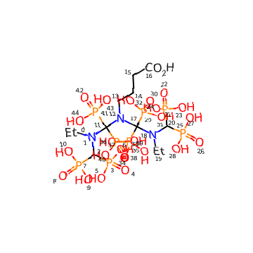 CCN(C(P(=O)(O)O)P(=O)(O)O)C(N(CCCC(=O)O)C(N(CC)C(P(=O)(O)O)P(=O)(O)O)(P(=O)(O)O)P(=O)(O)O)(P(=O)(O)O)P(=O)(O)O